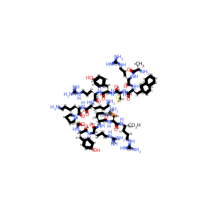 C[C@H](N)C(=O)N[C@@H](CCCNC(=N)N)C(=O)N[C@@H](Cc1ccc2ccccc2c1)C(=O)N[C@@H](CS)C(=O)N[C@@H](Cc1ccc(O)cc1)C(=O)N[C@@H](CCCNC(=N)N)C(=O)N[C@@H](CCCCN)C(=O)N[C@H](CCCCN)C(=O)N1CCC[C@H]1C(=O)N[C@@H](Cc1ccc(O)cc1)C(=O)N[C@@H](CCCNC(=N)N)C(=O)N[C@@H](CCCNC(N)=O)C(=O)N[C@@H](CS)C(=O)N[C@@H](CCCNC(=N)N)C(=O)O